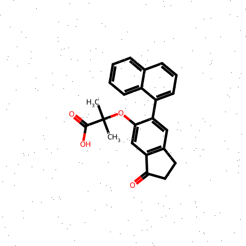 CC(C)(Oc1cc2c(cc1-c1cccc3ccccc13)CCC2=O)C(=O)O